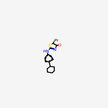 CC(C)C1SC(Nc2ccc(C3CCCCC3)cc2)=NC1=O